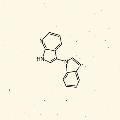 [c]1cn(-c2c[nH]c3ncccc23)c2ccccc12